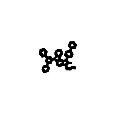 C=C/C=C\c1c(C)n(-c2ccc(-c3ccccc3)cc2)c2c1ccc1c2c2ccccc2n1-c1cc(-c2ccccc2)cc(-c2ccccc2)c1